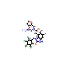 Cc1cc2[nH]c(=O)n(Cc3c(F)c(F)c(F)c(F)c3F)c2c(CC(=O)N(CC(N)=O)CC2CCCO2)c1C